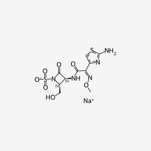 CON=C(C(=O)N[C@@H]1C(=O)N(S(=O)(=O)[O-])[C@@H]1CO)c1csc(N)n1.[Na+]